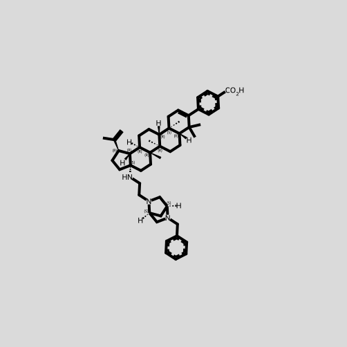 C=C(C)[C@@H]1CC[C@]2(NCCN3C[C@@H]4C[C@H]3CN4Cc3ccccc3)CC[C@]3(C)[C@H](CC[C@@H]4[C@@]5(C)CC=C(c6ccc(C(=O)O)cc6)C(C)(C)[C@@H]5CC[C@]43C)[C@@H]12